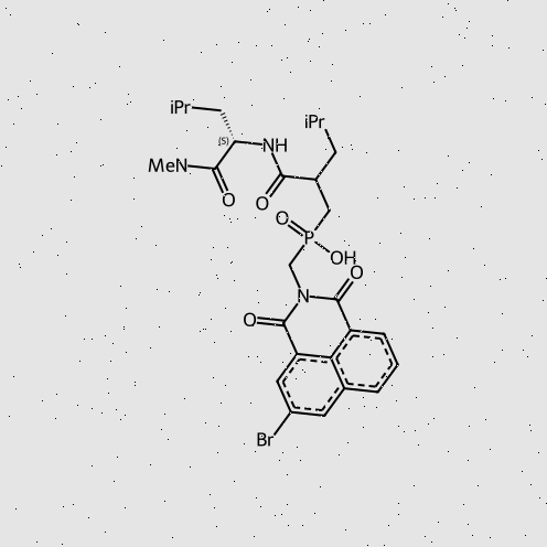 CNC(=O)[C@H](CC(C)C)NC(=O)C(CC(C)C)CP(=O)(O)CN1C(=O)c2cccc3cc(Br)cc(c23)C1=O